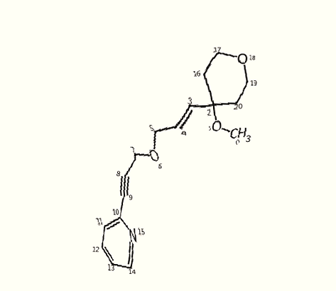 COC1(/C=C/COCC#Cc2ccccn2)CCOCC1